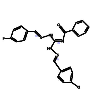 O=C(/N=C(\N/N=C/c1ccc(F)cc1)N/N=C/c1ccc(Cl)cc1)c1ccccc1